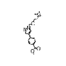 COC(=O)c1ccc(-c2cnn(COCC[Si](C)(C)C)c2)cc1